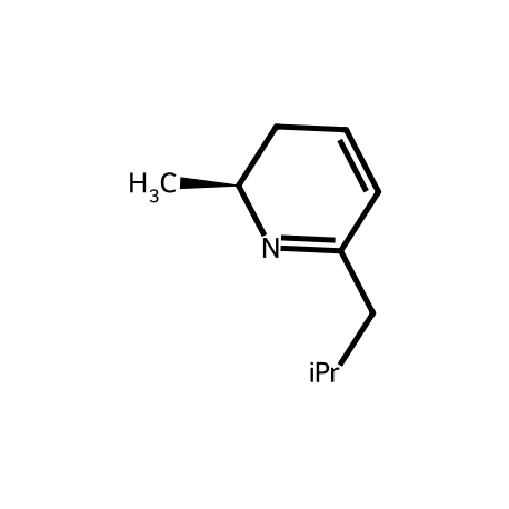 CC(C)CC1=N[C@@H](C)CC=C1